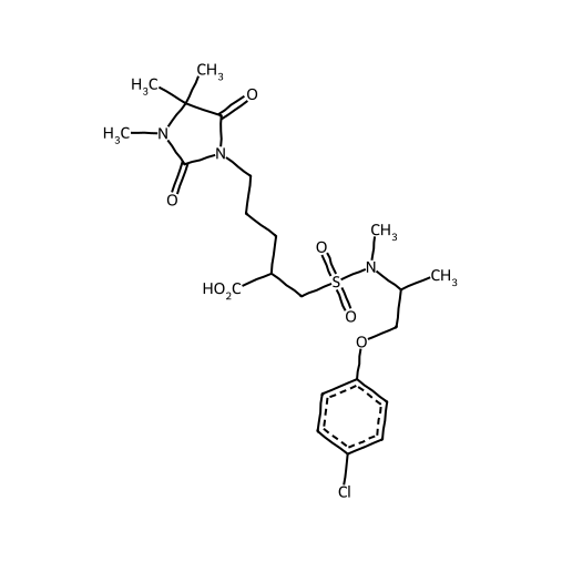 CC(COc1ccc(Cl)cc1)N(C)S(=O)(=O)CC(CCCN1C(=O)N(C)C(C)(C)C1=O)C(=O)O